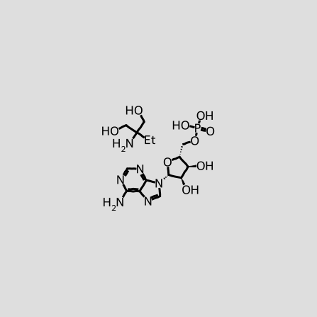 CCC(N)(CO)CO.Nc1ncnc2c1ncn2[C@@H]1O[C@H](COP(=O)(O)O)[C@@H](O)[C@H]1O